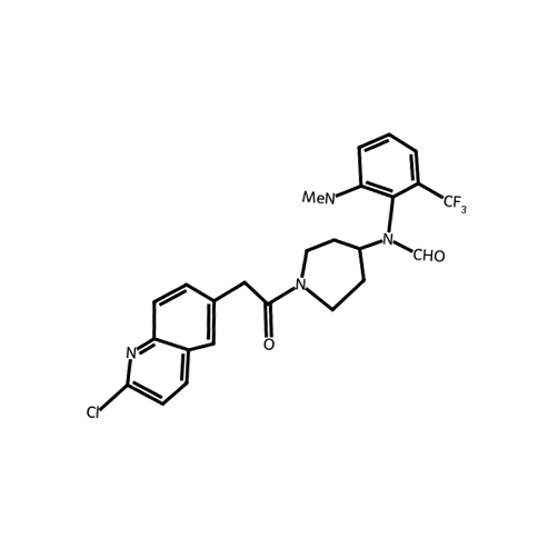 CNc1cccc(C(F)(F)F)c1N(C=O)C1CCN(C(=O)Cc2ccc3nc(Cl)ccc3c2)CC1